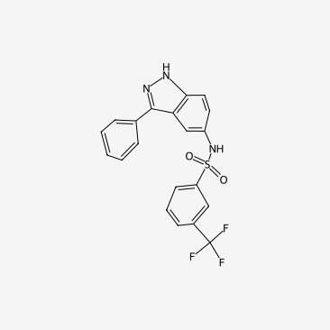 O=S(=O)(Nc1ccc2[nH]nc(-c3ccccc3)c2c1)c1cccc(C(F)(F)F)c1